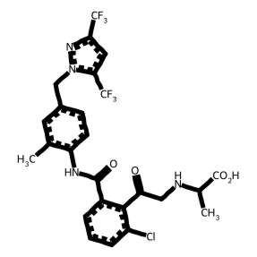 Cc1cc(Cn2nc(C(F)(F)F)cc2C(F)(F)F)ccc1NC(=O)c1cccc(Cl)c1C(=O)CNC(C)C(=O)O